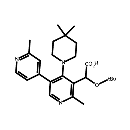 Cc1cc(-c2cnc(C)c(C(OC(C)(C)C)C(=O)O)c2N2CCC(C)(C)CC2)ccn1